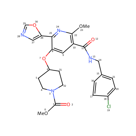 COC(=O)N1CCC(Oc2cc(C(=O)NCc3ccc(Cl)cc3)c(OC)nc2-c2cnco2)CC1